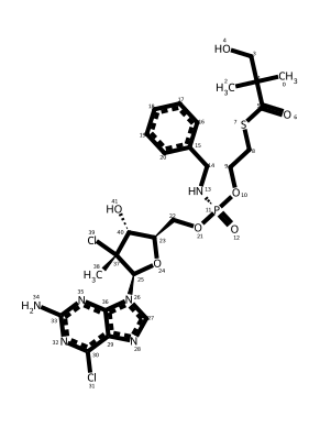 CC(C)(CO)C(=O)SCCO[P@](=O)(NCc1ccccc1)OC[C@H]1O[C@@H](n2cnc3c(Cl)nc(N)nc32)[C@](C)(Cl)[C@@H]1O